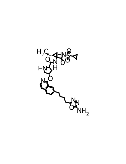 C=C[C@@H]1C[C@]1(NC(=O)C1C[C@@H](Oc2nccc3ccc(CCCCc4nnc(N)o4)cc23)CN1)C(=O)NS(=O)(=O)C1CC1